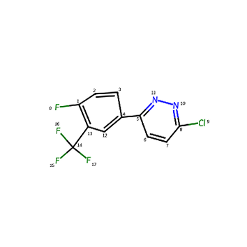 Fc1ccc(-c2ccc(Cl)nn2)cc1C(F)(F)F